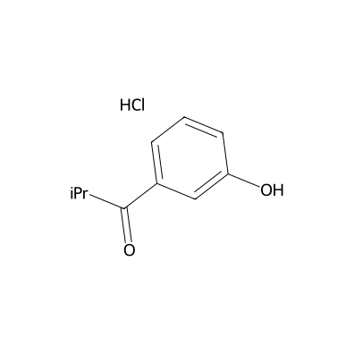 CC(C)C(=O)c1cccc(O)c1.Cl